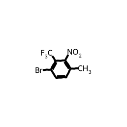 Cc1ccc(Br)c(C(F)(F)F)c1[N+](=O)[O-]